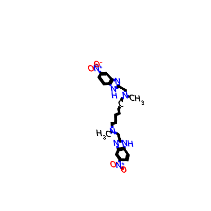 CN(CCCCCCCN(C)Cc1nc2cc([N+](=O)[O-])ccc2[nH]1)Cc1nc2cc([N+](=O)[O-])ccc2[nH]1